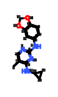 Cc1cnc(Nc2ccc3c(c2)OCO3)nc1NC1CC1